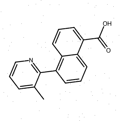 Cc1cccnc1-c1cccc2c(C(=O)O)cccc12